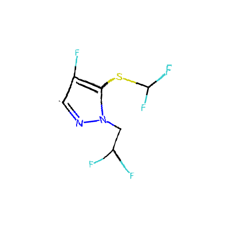 Fc1[c]nn(CC(F)F)c1SC(F)F